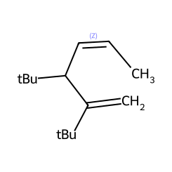 C=C(C(/C=C\C)C(C)(C)C)C(C)(C)C